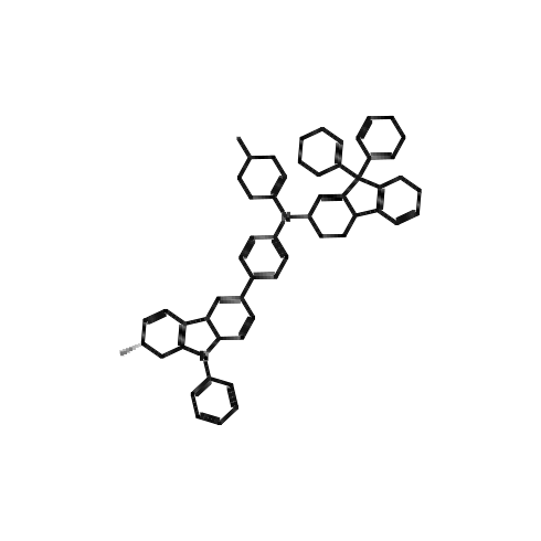 CC1CC=C(N(c2ccc(C3=CC4C5=C(C[C@H](C)C=C5)N(c5ccccc5)C4C=C3)cc2)C2C=C3C(CC2)C2=C(CCC=C2)C3(C2=CCCC=C2)C2=CCCCC2)CC1